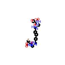 COC(=O)N[C@H](C(=O)N1CCC[C@H]1c1nc(-c2ccc3cc(-c4ccc(-c5cnc([C@@H]6CCCN6C(=O)[C@H](NC(=O)OC)c6ccsc6)[nH]5)cc4)ccc3c2)c[nH]1)C1CCOCC1